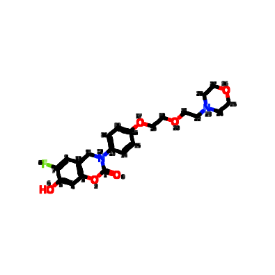 O=C1Oc2cc(O)c(F)cc2CN1c1ccc(OCCOCCN2CCOCC2)cc1